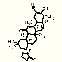 C[C@@H]1C(O)=C(C#N)C[C@]2(C)C3=CC(=O)[C@@H]4[C@@H]5CC(C)(C)CC[C@]5(CN5CCCC5=O)CC[C@@]4(C)[C@]3(C)CC[C@@H]12